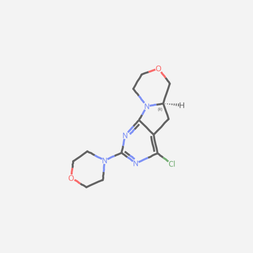 Clc1nc(N2CCOCC2)nc2c1C[C@@H]1COCCN21